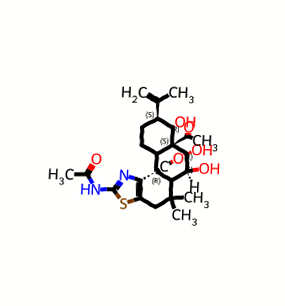 C=C(C)[C@@H]1CCC2[C@@]34CO[C@@](O)([C@@H](O)C3C(C)(C)Cc3sc(NC(C)=O)nc34)[C@@]2(C(C)=O)[C@@H]1O